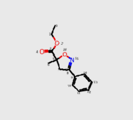 CCOC(=O)C1(C)CC(c2ccccc2)=NO1